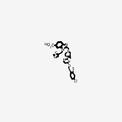 O=C(O)c1ccc2nc(CN3CC[C@@]4(c5nccc(OCc6ccc(Cl)cc6F)n5)C[C@H]4C3)n(Cc3cncs3)c2c1